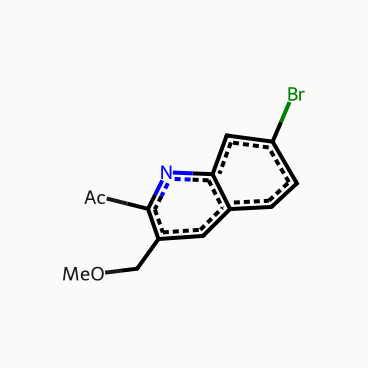 COCc1cc2ccc(Br)cc2nc1C(C)=O